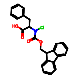 O=C(O)[C@@H](Cc1ccccc1)N(Cl)C(=O)OCC1c2ccccc2-c2ccccc21